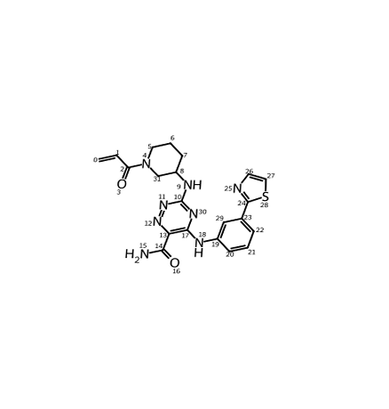 C=CC(=O)N1CCCC(Nc2nnc(C(N)=O)c(Nc3cccc(-c4nccs4)c3)n2)C1